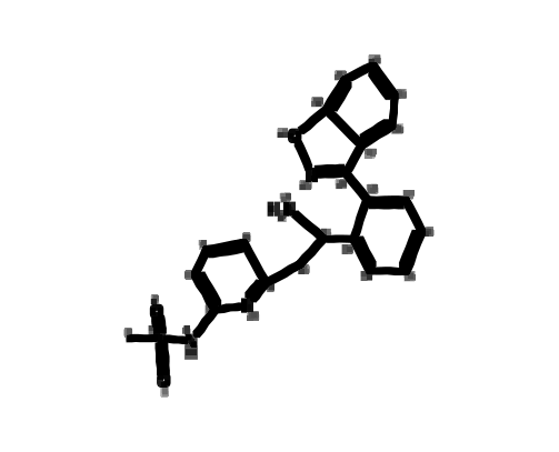 CS(=O)(=O)Nc1cccc(CC(N)c2ccccc2-c2noc3ccccc23)n1